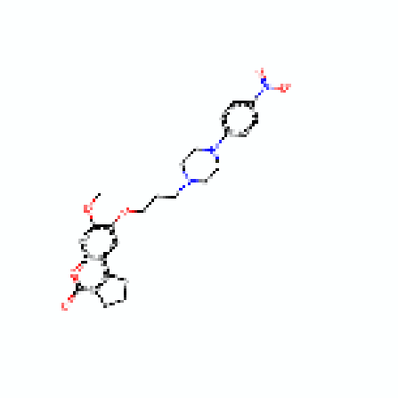 COc1cc2oc(=O)c3c(c2cc1OCCCN1CCN(c2ccc([N+](=O)[O-])cc2)CC1)CCC3